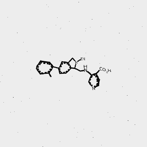 CCN1Cc2cc(-c3ccccc3C)ccc2C1CNc1cnccc1C(=O)O